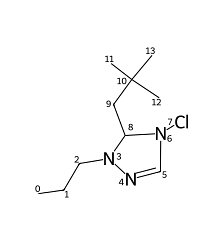 CCCN1N=CN(Cl)C1CC(C)(C)C